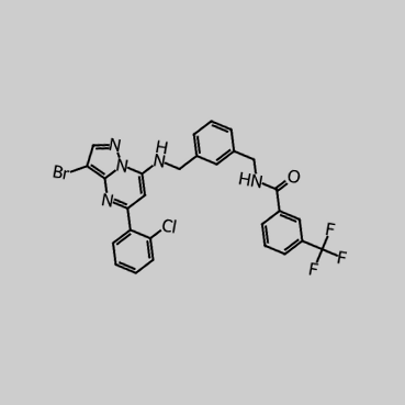 O=C(NCc1cccc(CNc2cc(-c3ccccc3Cl)nc3c(Br)cnn23)c1)c1cccc(C(F)(F)F)c1